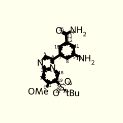 COc1cc2ncc(-c3cc(N)cc(C(N)=O)c3)n2cc1S(=O)(=O)C(C)(C)C